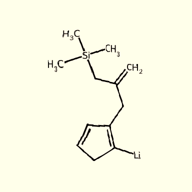 [Li][C]1=C(CC(=C)C[Si](C)(C)C)C=CC1